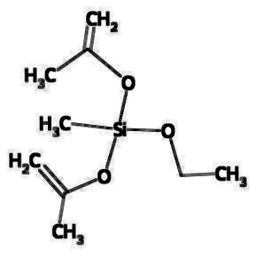 C=C(C)O[Si](C)(OCC)OC(=C)C